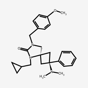 COc1ccc(CN2C[C@]3(C[C@](c4ccccc4)(N(C)C)C3)N(CC3CC3)C2=O)cc1